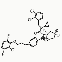 O=C(C1=C(c2ccc(CCCOc3c(F)ccc(F)c3Cl)cc2)CC2CS(=O)(=O)C[C@H]1N2)N(Cc1cccc(Cl)c1Cl)C1CC1